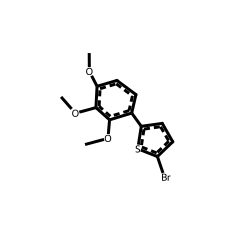 COc1ccc(-c2ccc(Br)s2)c(OC)c1OC